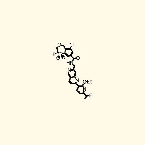 CCOc1nc(C(F)F)ccc1-c1ccc2cnc(CNC(=O)c3cc(Cl)c4c(c3)S(=O)(=O)[C@@H](F)COC4)cc2n1